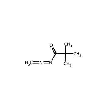 C=[N+]=NC(=O)C(C)(C)C